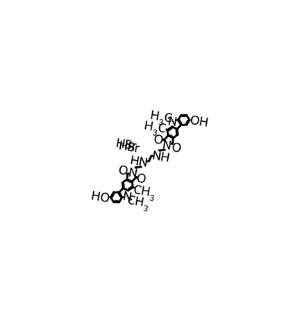 Br.Br.Cc1c2c(cc3c4cc(O)ccc4n(C)c13)C(=O)N(CCNCCNCCN1C(=O)c3cc4c5cc(O)ccc5n(C)c4c(C)c3C1=O)C2=O